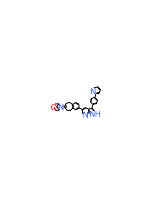 c1ccc(-c2ccc(-c3c[nH]c4ncc(-c5ccc6c(c5)CC[C@@H](N5C7COCC5C7)CC6)cc34)cc2)nc1